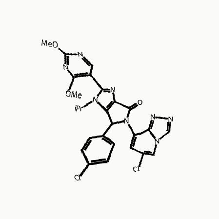 COc1ncc(-c2nc3c(n2C(C)C)C(c2ccc(Cl)cc2)N(c2cc(Cl)cn4cnnc24)C3=O)c(OC)n1